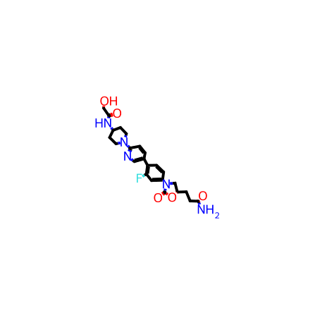 NC(=O)CCC1CN(c2ccc(-c3ccc(N4CCC(NC(=O)CO)CC4)nc3)c(F)c2)C(=O)O1